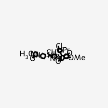 COc1cc2c(cc1OC(C)C)C(c1ccc(Cl)cc1)N(c1ccc(N(C)C[C@H]3CC[C@H](N4CCN(C)C(=O)C4)CC3)nc1)C(=O)C2